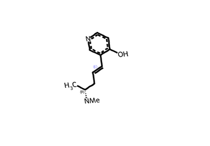 CN[C@H](C)C/C=C/c1cnccc1O